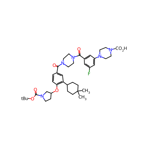 CC1(C)CCC(c2cc(C(=O)N3CCN(C(=O)c4cc(F)cc(N5CCN(C(=O)O)CC5)c4)CC3)ccc2OC2CCN(C(=O)OC(C)(C)C)C2)CC1